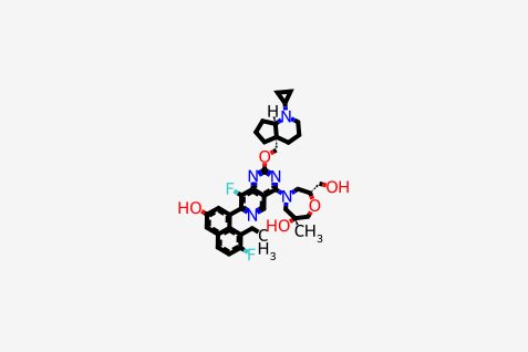 CCc1c(F)ccc2cc(O)cc(-c3ncc4c(N5C[C@H](CO)OC[C@@](C)(O)C5)nc(OC[C@]56CCC[C@H]5N(C5CC5)CCC6)nc4c3F)c12